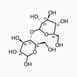 OC[C@H]1OC(O[C@H]2[C@H](O)[C@@H](O)C(O)O[C@@H]2CO)[C@H](O)[C@@H](O)[C@@H]1O